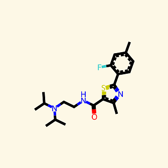 Cc1ccc(-c2nc(C)c(C(=O)NCCN(C(C)C)C(C)C)s2)c(F)c1